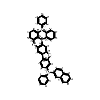 c1ccc(N(c2ccc3ccccc3c2)c2ccc3c(c2)oc2cc4c(cc23)Oc2cccc3c2B4c2ccccc2N3c2ccccc2)cc1